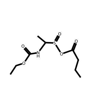 CCCC(=O)OS(=O)C(C)NC(=O)OCC